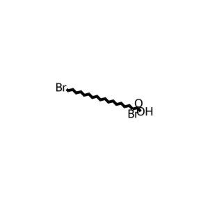 O=C(O)C(Br)CCCCCCCCCCCCCCCCBr